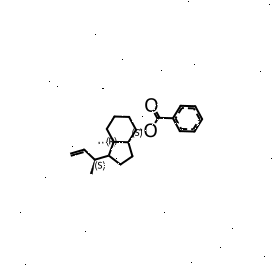 C=C[C@H](C)C1CCC2[C@@H](OC(=O)c3ccccc3)CCC[C@@]21C